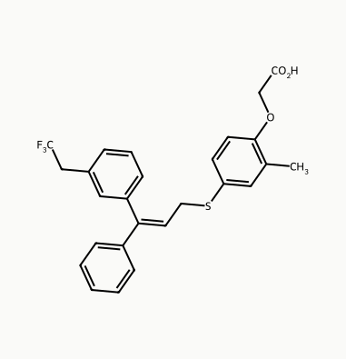 Cc1cc(SCC=C(c2ccccc2)c2cccc(CC(F)(F)F)c2)ccc1OCC(=O)O